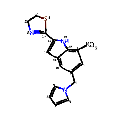 O=[N+]([O-])c1cc(Cn2cccc2)cc2cc(C3=N[CH]CS3)[nH]c12